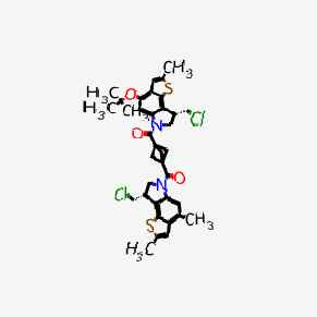 Cc1cc2c(C)cc3c(c2s1)[C@H](CCl)CN3C(=O)C12CC(C(=O)N3C[C@@H](CCl)c4c3cc(OC(C)(C)C)c3cc(C)sc43)(C1)C2